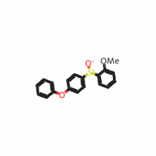 COc1ccccc1[S+]([O-])c1ccc(Oc2ccccc2)cc1